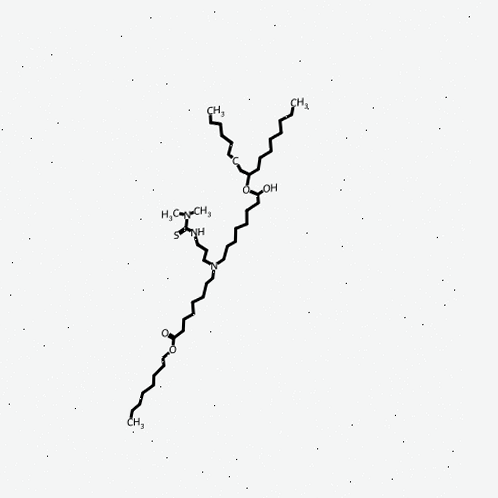 CCCCCCCCOC(=O)CCCCCCCN(CCCCCCCC(O)OC(CCCCCCCC)CCCCCCCC)CCCNC(=S)N(C)C